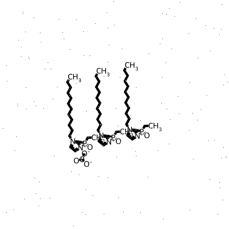 CCCCCCCCCCCCn1cc[n+]2c1P2(=O)CC.CCCCCCCCCCCCn1cc[n+]2c1P2(=O)CC.CCCCCCCCCCCCn1cc[n+]2c1P2(=O)CC.[O-]B([O-])[O-]